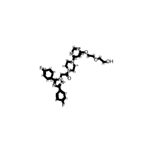 O=C(Cn1nc(-c2ccc(F)cc2)nc1-c1ccc(F)cc1)N1CCN(c2cc(OCCOCCO)ncn2)CC1